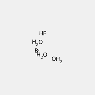 F.O.O.O.[B]